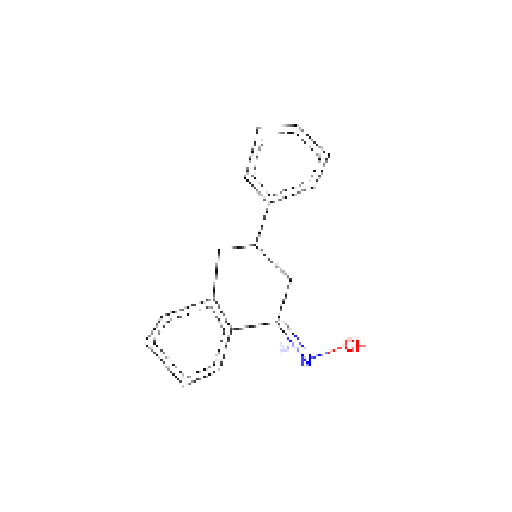 O/N=C1\CC(c2ccccc2)Cc2ccccc21